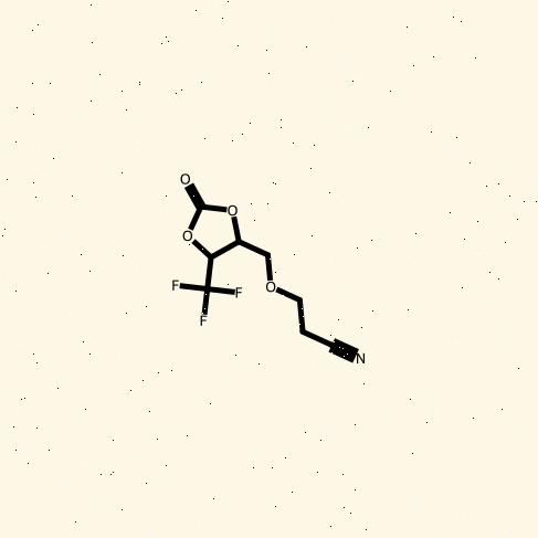 N#CCCOCC1OC(=O)OC1C(F)(F)F